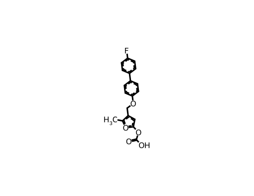 Cc1oc(OC(=O)O)cc1COc1ccc(-c2ccc(F)cc2)cc1